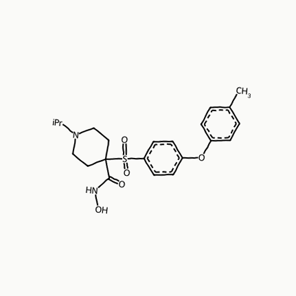 Cc1ccc(Oc2ccc(S(=O)(=O)C3(C(=O)NO)CCN(C(C)C)CC3)cc2)cc1